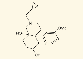 COc1cccc(C23CCN(CC4CC4)CC2(O)CCC(O)C3)c1